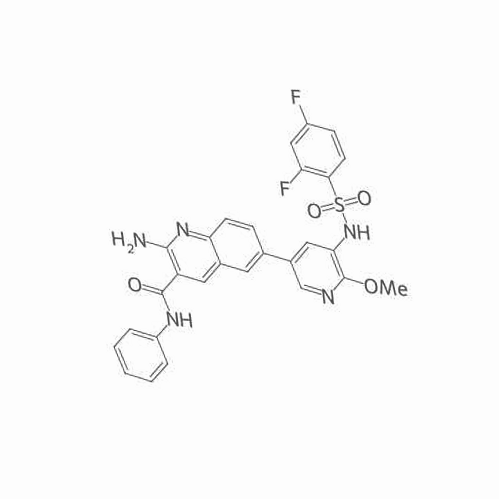 COc1ncc(-c2ccc3nc(N)c(C(=O)Nc4ccccc4)cc3c2)cc1NS(=O)(=O)c1ccc(F)cc1F